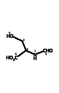 O=CNC(CO)C(=O)O